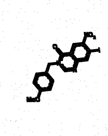 COc1ccc(Cn2cnc3cc(I)c([N+](=O)[O-])cc3c2=O)cc1